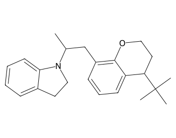 CC(Cc1cccc2c1OCCC2C(C)(C)C)N1CCc2ccccc21